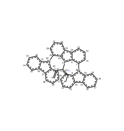 C=C/C(=C\C)p1c2c(-n3c4ccccc4c4ccccc43)cccc2c2cccc(-n3c4ccccc4c4ccccc43)c21